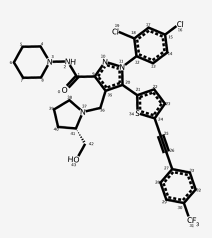 O=C(NN1CCCCC1)c1nn(-c2ccc(Cl)cc2Cl)c(-c2ccc(C#Cc3ccc(C(F)(F)F)cc3)s2)c1CN1CCC[C@H]1CO